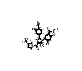 CN[C@H]1CCN(C(=O)c2nc(-c3ccc(C#N)c(F)c3)n(-c3cc4c(F)n(C)nc4cc3Cl)c2C)C1